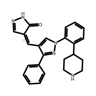 O=C1NN=C/C1=C/c1cn(-c2ccccc2C2CCNCC2)nc1-c1ccccc1